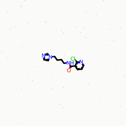 O=C(NCCCCn1ccnc1)c1cccnc1Cl